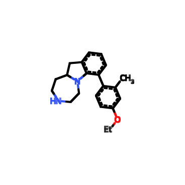 CCOc1ccc(-c2cccc3c2N2CCNCCC2C3)c(C)c1